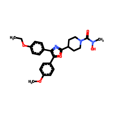 CCOc1ccc(-c2nc(C3CCN(C(=O)N(C)O)CC3)oc2-c2ccc(OC)cc2)cc1